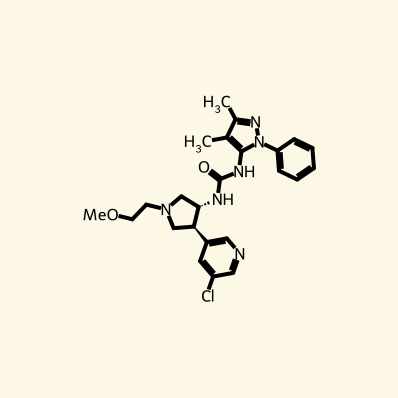 COCCN1C[C@H](NC(=O)Nc2c(C)c(C)nn2-c2ccccc2)[C@@H](c2cncc(Cl)c2)C1